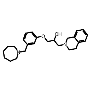 OC(COc1cccc(CN2CCCCCC2)c1)CN1CCc2ccccc2C1